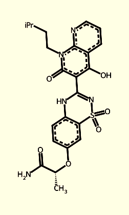 CC(C)CCn1c(=O)c(C2=NS(=O)(=O)c3cc(O[C@H](C)C(N)=O)ccc3N2)c(O)c2cccnc21